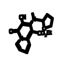 CCOC(=O)c1c(N(C)C2CCCO2)c(C#N)c(=O)n2ccccc12